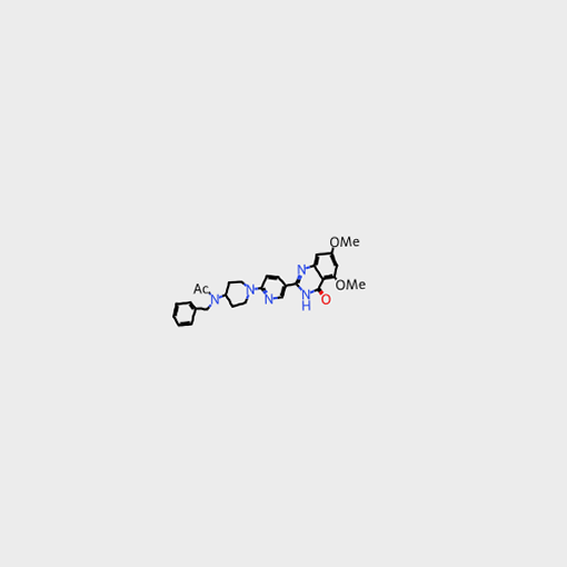 COc1cc(OC)c2c(=O)[nH]c(-c3ccc(N4CCC(N(Cc5ccccc5)C(C)=O)CC4)nc3)nc2c1